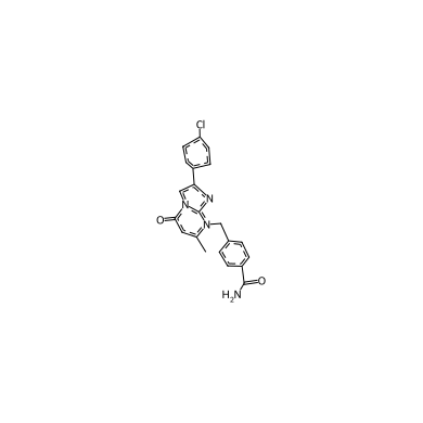 Cc1cc(=O)n2cc(-c3ccc(Cl)cc3)nc2n1Cc1ccc(C(N)=O)cc1